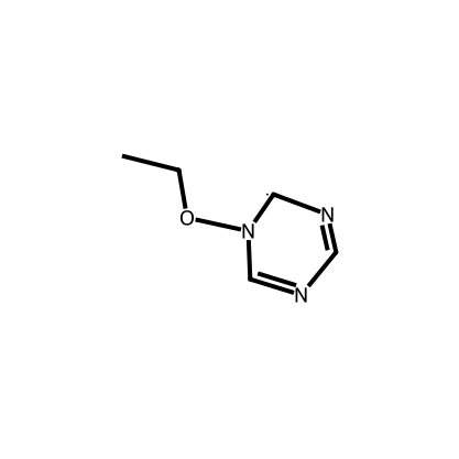 CCON1[CH]N=CN=C1